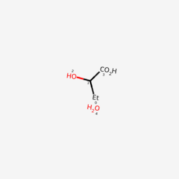 CCC(O)C(=O)O.O